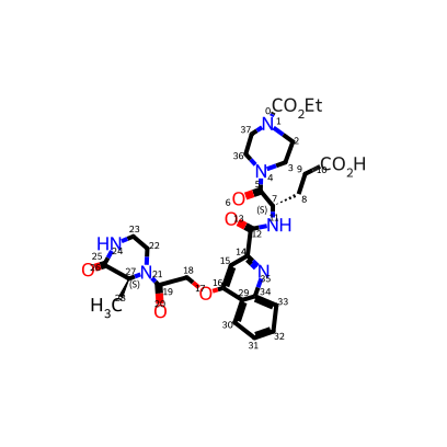 CCOC(=O)N1CCN(C(=O)[C@H](CCC(=O)O)NC(=O)c2cc(OCC(=O)N3CCNC(=O)[C@@H]3C)c3ccccc3n2)CC1